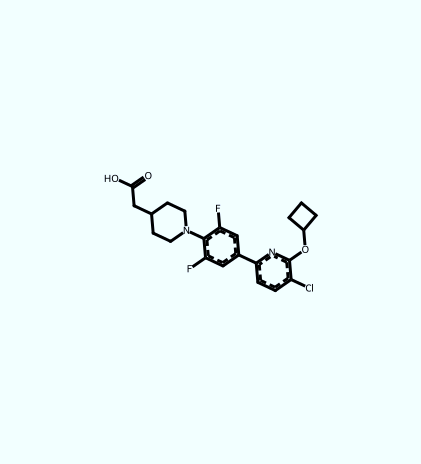 O=C(O)CC1CCN(c2c(F)cc(-c3ccc(Cl)c(OC4CCC4)n3)cc2F)CC1